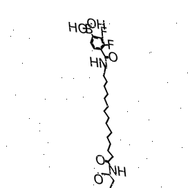 O=[C][C@H](CCC(=O)O)NC(=O)CCCCCCCCCCCCCCCNC(=O)c1ccc(B(O)O)c(F)c1F